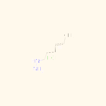 C/C=C/CCCNN.Cl